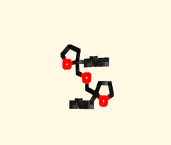 CCCCCCCCCC1(COCC2(CCCCCCCCC)CCCO2)CCCO1